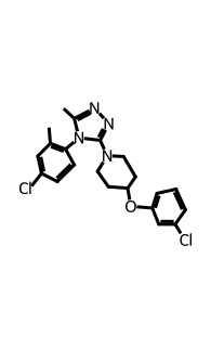 Cc1cc(Cl)ccc1-n1c(C)nnc1N1CCC(Oc2cccc(Cl)c2)CC1